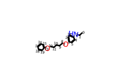 CCNc1ccc(OCCCCCOc2ccccc2)cc1